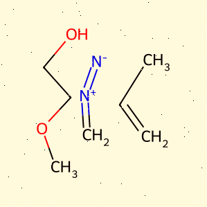 C=CC.C=[N+]=[N-].COCCO